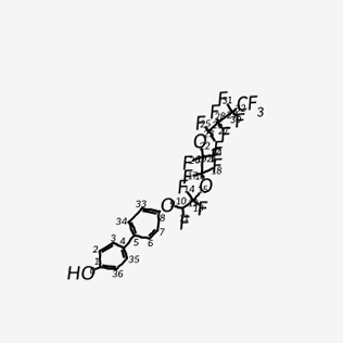 Oc1ccc(-c2ccc(OC(F)C(F)(F)OC(F)(F)C(F)(F)OC(F)(F)C(F)(F)C(F)(F)C(F)(F)F)cc2)cc1